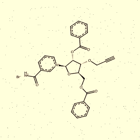 C#CCO[C@H]1[C@@H](OC(=O)c2ccccc2)[C@H]([n+]2cccc(C(N)=O)c2)O[C@@H]1COC(=O)c1ccccc1.[Br-]